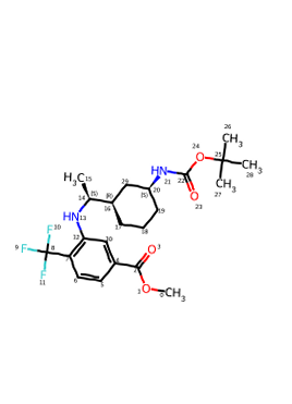 COC(=O)c1ccc(C(F)(F)F)c(N[C@@H](C)[C@@H]2CCC[C@H](NC(=O)OC(C)(C)C)C2)c1